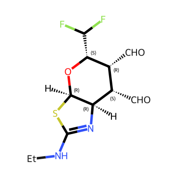 CCNC1=N[C@@H]2[C@@H](C=O)[C@@H](C=O)[C@@H](C(F)F)O[C@@H]2S1